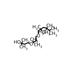 CC(C)C(C)(C)CC(C)(C)COCCC(C)(C)OCCC(C)(C)O